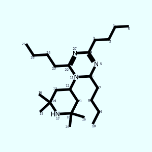 CCCCC1=NC(CCCC)N(C2CC(C)(C)NC(C)(C)C2)C(CCCC)=N1